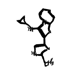 Cc1nc(-c2nc3ccccn3c2NC2CC2)c[nH]1